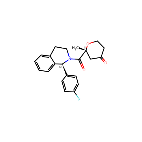 C[C@]1(C(=O)N2CCc3ccccc3[C@@H]2c2ccc(F)cc2)CC(=O)CCO1